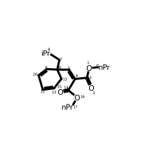 CCCOC(=O)C(=CC1(CC(C)C)C=CC=CC1)C(=O)OCCC